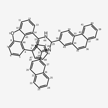 c1ccc(-c2cccc3oc4cccc(C5=NC(c6ccc7ccccc7c6)=NC(c6ccc7c(ccc8ccccc87)c6)N5)c4c23)cc1